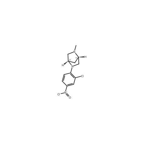 CN1C[C@@H]2C[C@H]1CN2c1ccc([N+](=O)[O-])cc1Cl